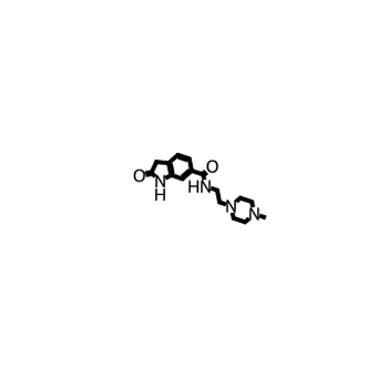 CN1CCN(CCNC(=O)c2ccc3c(c2)NC(=O)C3)CC1